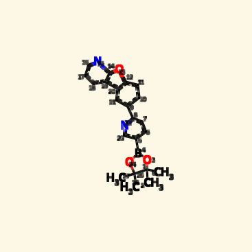 CC1(C)OB(c2ccc(-c3ccc4oc5ncccc5c4c3)nc2)OC1(C)C